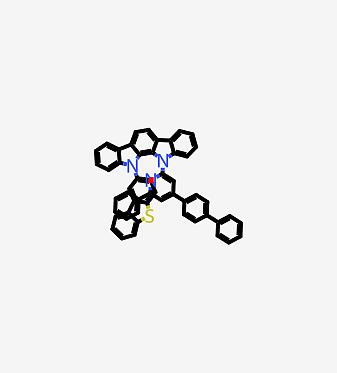 c1ccc(-c2ccc(-c3cc(-c4ccccc4)nc(-n4c5ccccc5c5ccc6c7ccccc7n(-c7ccc8sc9ccccc9c8c7)c6c54)c3)cc2)cc1